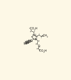 C=CCC1=[N+](CCC(=O)O)CCN1CCOCC(=O)O.[Na+].[Na+].[OH-].[OH-].[OH-]